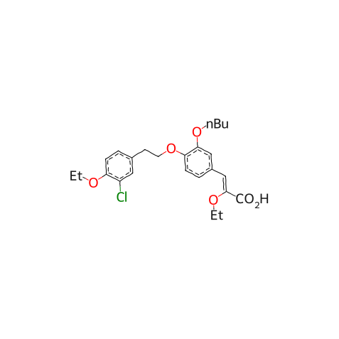 CCCCOc1cc(/C=C(\OCC)C(=O)O)ccc1OCCc1ccc(OCC)c(Cl)c1